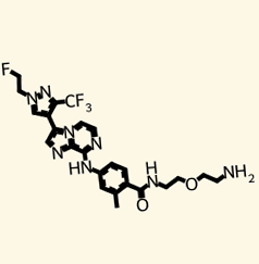 Cc1cc(Nc2nccn3c(-c4cn(CCF)nc4C(F)(F)F)cnc23)ccc1C(=O)NCCOCCN